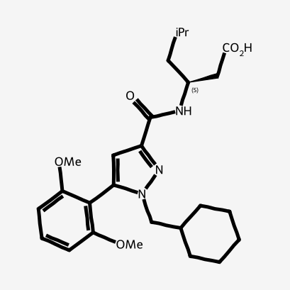 COc1cccc(OC)c1-c1cc(C(=O)N[C@H](CC(=O)O)CC(C)C)nn1CC1CCCCC1